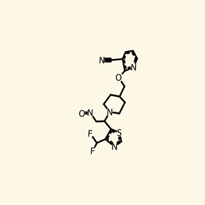 N#Cc1cccnc1OCC1CCN(C(CN=O)c2scnc2C(F)F)CC1